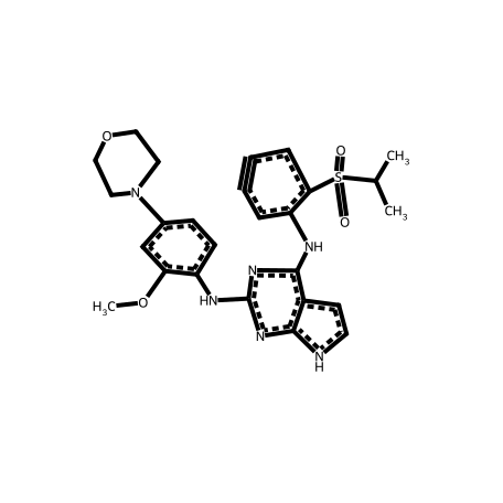 COc1cc(N2CCOCC2)ccc1Nc1nc(Nc2cc#ccc2S(=O)(=O)C(C)C)c2cc[nH]c2n1